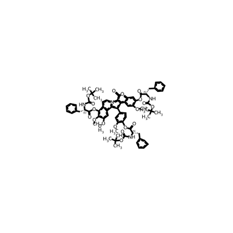 COc1cc(-c2c3c4cc(OC)c(OC(=O)[C@H](Cc5ccccc5)NC(=O)OC(C)(C)C)cc4oc(=O)c3n3ccc4c(OC(=O)[C@H](Cc5ccccc5)NC(=O)OC(C)(C)C)c(OC)c(OC)cc4c23)ccc1OC(=O)[C@H](Cc1ccccc1)NC(=O)OC(C)(C)C